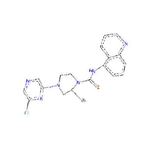 CC(C)C1CN(c2cncc(Cl)n2)CCN1C(=S)Nc1cccc2ncccc12